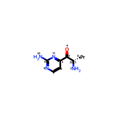 CC(C)[C@H](N)C(=O)c1ccnc(N)n1